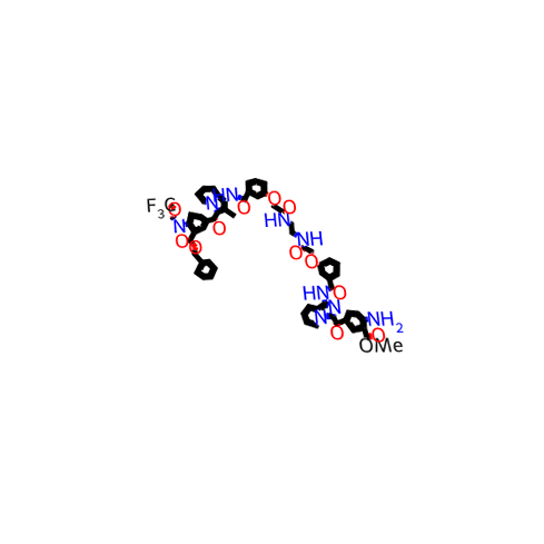 COC(=O)c1cc(C(=O)c2nc(NC(=O)c3cccc(OCC(=O)NCCNC(=O)COc4cccc(C(=O)Nc5c(C)c(C(=O)c6ccc(/N=C\OC(F)(F)F)c(C(=O)OCc7ccccc7)c6)n6ccccc56)c4)c3)c3ccccn23)ccc1N